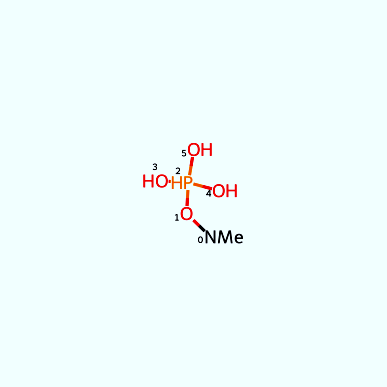 CNO[PH](O)(O)O